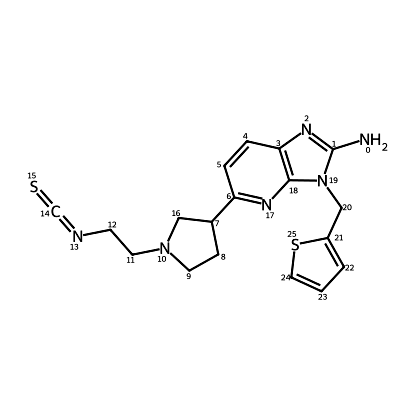 Nc1nc2ccc(C3CCN(CCN=C=S)C3)nc2n1Cc1cccs1